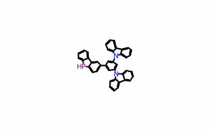 c1ccc2c(c1)[pH]c1ccc(-c3cc(-n4c5ccccc5c5ccccc54)cc(-n4c5ccccc5c5ccccc54)c3)cc12